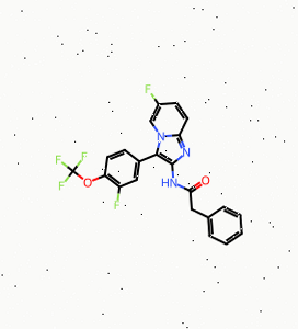 O=C(Cc1ccccc1)Nc1nc2ccc(F)cn2c1-c1ccc(OC(F)(F)F)c(F)c1